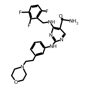 NC(=O)c1cnc(Nc2cccc(CCN3CCOCC3)c2)nc1NCc1c(F)ccc(F)c1F